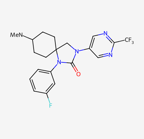 CNC1CCC2(CC1)CN(c1cnc(C(F)(F)F)nc1)C(=O)N2c1cccc(F)c1